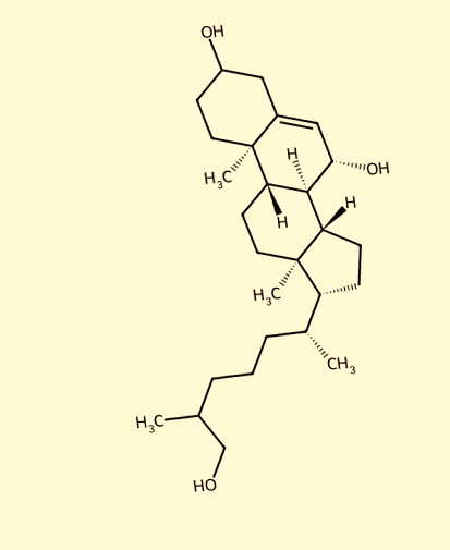 CC(CO)CCC[C@@H](C)[C@H]1CC[C@H]2[C@@H]3[C@@H](O)C=C4CC(O)CC[C@]4(C)[C@H]3CC[C@]12C